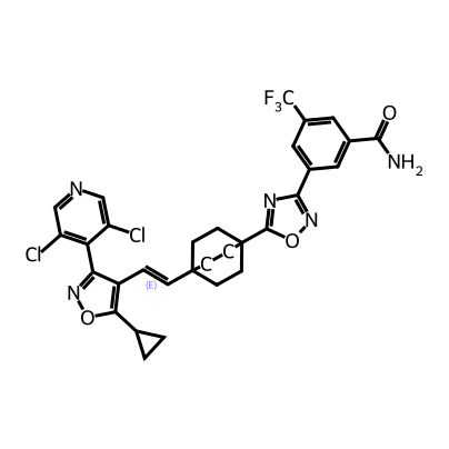 NC(=O)c1cc(-c2noc(C34CCC(/C=C/c5c(-c6c(Cl)cncc6Cl)noc5C5CC5)(CC3)CC4)n2)cc(C(F)(F)F)c1